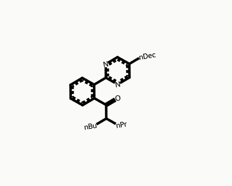 CCCCCCCCCCc1cnc(-c2ccccc2C(=O)C(CCC)CCCC)nc1